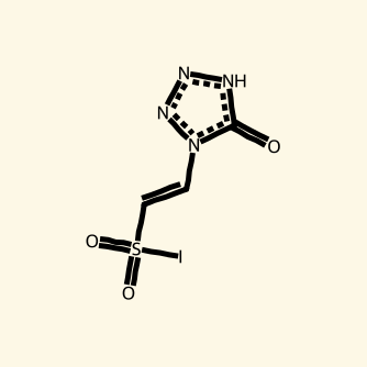 O=c1[nH]nnn1/C=C/S(=O)(=O)I